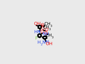 CCOC(=O)COc1c(CNc2cc(F)ccc2C(=O)Nc2ccc(/C(N)=N/O)cc2)cc(CO)cc1OC(C)C